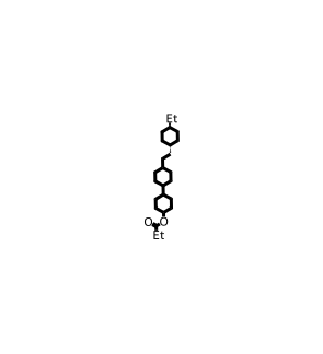 CCC(=O)OC1CCC(C2CCC(CC[C@H]3CC[C@H](CC)CC3)CC2)CC1